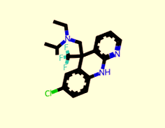 CCN(CC1(C(F)(F)F)c2cc(Cl)ccc2Nc2ncccc21)C(C)C